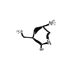 BCc1cc([N+](=O)[O-])cnc1Br